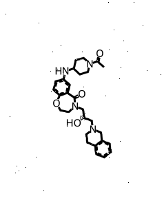 CC(=O)N1CCC(Nc2ccc3c(c2)C(=O)N(C[C@@H](O)CN2CCc4ccccc4C2)CCO3)CC1